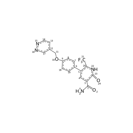 NC(=O)c1cc(-c2ccc(OCc3ccnnc3)cc2)c(C(F)(F)F)[nH]c1=O